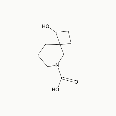 O=C(O)N1CCCC2(CCC2O)C1